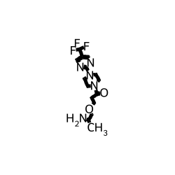 CC(N)COCCC(=O)N1CCN(c2ncc(C(F)(F)F)cn2)CC1